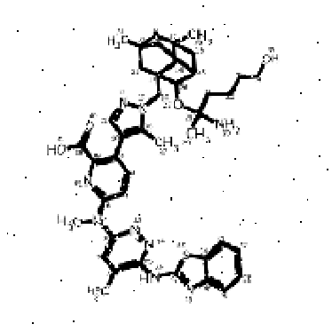 Cc1cc(N(C)c2ccc(-c3cnn(CC45CC6(C)CC(CC(C)(C6)C4)C5OC(C)(N)CCCCO)c3C)c(C(=O)O)n2)nnc1Nc1nc2ccccc2s1